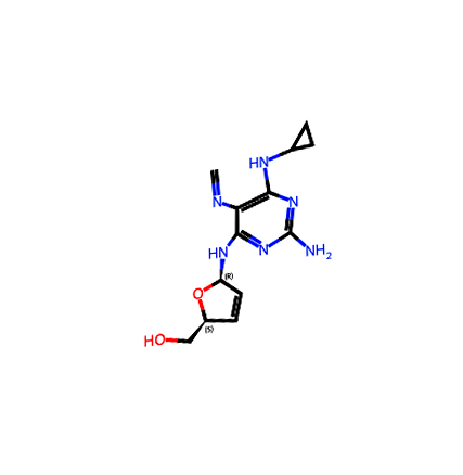 C=Nc1c(NC2CC2)nc(N)nc1N[C@H]1C=C[C@@H](CO)O1